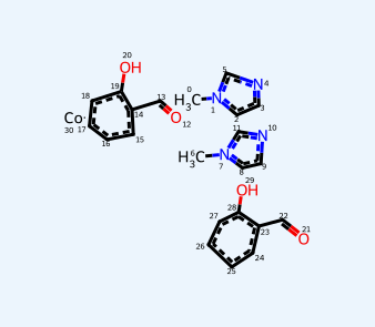 Cn1ccnc1.Cn1ccnc1.O=Cc1ccccc1O.O=Cc1ccccc1O.[Co]